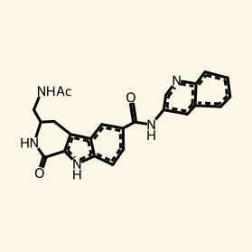 CC(=O)NCC1Cc2c([nH]c3ccc(C(=O)Nc4cnc5ccccc5c4)cc23)C(=O)N1